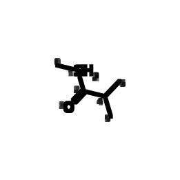 C[SiH2]C(=O)C(C)C